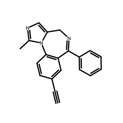 C#Cc1ccc2c(c1)C(c1ccccc1)=NCc1cnc(C)n1-2